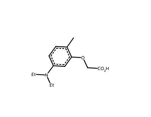 CCN(CC)c1ccc(C)c(OCC(=O)O)c1